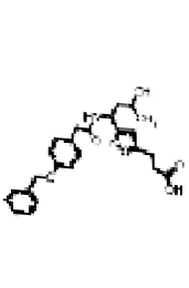 CC(C)CC(NC(=O)Cc1ccc(OCc2ccccc2)cc1)c1cc(CCC(=O)O)on1